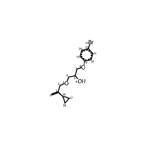 C=C(COCC(O)COc1ccc(Br)cc1)C1CC1